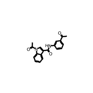 CC(=O)c1cccc(NC(=O)c2cn(C(C)=O)c3ccccc23)c1